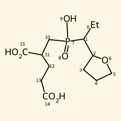 CCC(C1CCCO1)P(=O)(O)CC(CCC(=O)O)C(=O)O